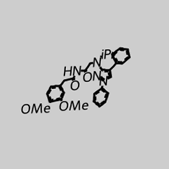 COc1ccc(CC(=O)NC(=O)CN(c2nn(-c3ccccc3)cc2-c2ccccc2)C(C)C)cc1OC